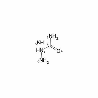 NNC(N)=O.[KH]